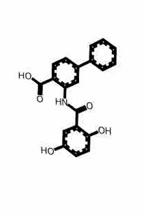 O=C(Nc1cc(-c2ccccc2)ccc1C(=O)O)c1cc(O)ccc1O